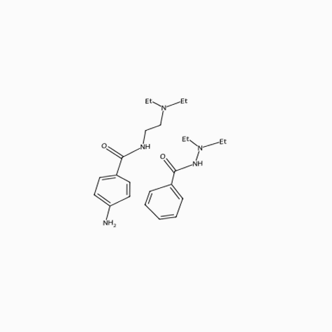 CCN(CC)CCNC(=O)c1ccc(N)cc1.CCN(CC)NC(=O)c1ccccc1